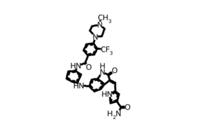 CN1CCN(c2ccc(C(=O)Nc3cccc(Nc4ccc5c(c4)NC(=O)C5=Cc4cc(C(N)=O)c[nH]4)c3)cc2C(F)(F)F)CC1